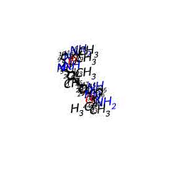 Cc1cc(-c2cnc([C@@H]3CCCN3C(=O)[C@@H](N)C(C)C)[nH]2)cc(C)c1C#Cc1ccc2nc([C@@H]3CCCN3C(=O)[C@@H](N)C(C)C)[nH]c2c1